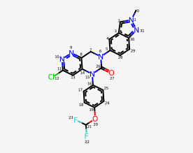 Cn1cc2cc(N3Cc4nnc(Cl)cc4N(c4ccc(OC(F)F)cc4)C3=O)ccc2n1